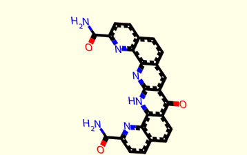 NC(=O)c1ccc2ccc3cc4c(=O)c5ccc6ccc(C(N)=O)nc6c5[nH]c4nc3c2n1